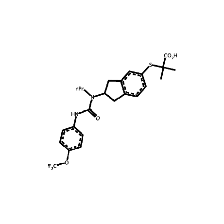 CCCN(C(=O)Nc1ccc(OC(F)(F)F)cc1)C1Cc2ccc(SC(C)(C)C(=O)O)cc2C1